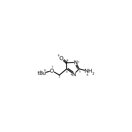 CC(C)(C)OCC1=NC(N)=NC1=O